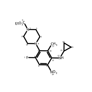 CCOC(=O)N1CCN(c2c(F)cc([N+](=O)[O-])c(NC3CC3)c2C)CC1